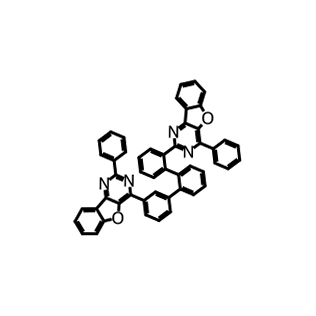 c1ccc(-c2nc(-c3cccc(-c4ccccc4-c4ccccc4-c4nc(-c5ccccc5)c5oc6ccccc6c5n4)c3)c3oc4ccccc4c3n2)cc1